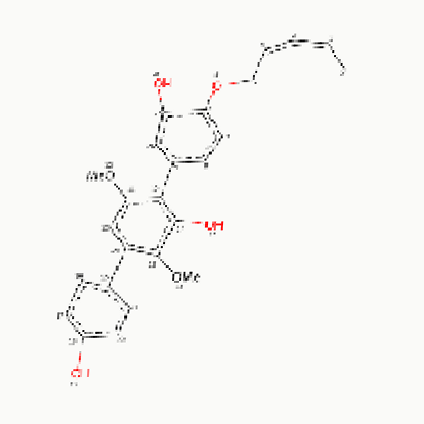 CC=C=CCOc1ccc(-c2c(OC)cc(-c3ccc(O)cc3)c(OC)c2O)cc1O